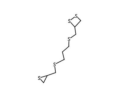 C(CSCC1CS1)CSCC1CSS1